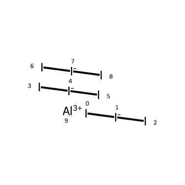 I[I-]I.I[I-]I.I[I-]I.[Al+3]